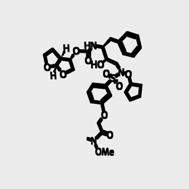 CON(C)C(=O)COc1cccc(S(=O)(=O)N(C[C@H](O)[C@H](Cc2ccccc2)NC(=O)O[C@H]2CO[C@H]3OCC[C@H]32)OC2CCCC2)c1